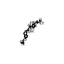 CCC(=O)N1CC(Nc2cc(C(=O)NCC(O)CN3CCc4cc(OCc5cnco5)ccc4C3)ccn2)C1